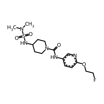 CN(C)S(=O)(=O)NC1CCN(C(=O)Nc2ccc(OCCF)nc2)CC1